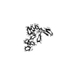 C1=CCCC(C2N=C(c3ccccc3)N=C(C3C=CC=C(c4ccc5c6ccccc6n(-c6cccc(C7=c8c(n(-c9ccccc9)c9ccccc89)=CCC7)c6)c5c4)C3)N2)=C1